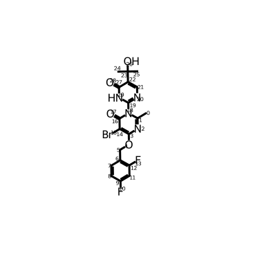 Cc1nc(OCc2ccc(F)cc2F)c(Br)c(=O)n1-c1ncc(C(C)(C)O)c(=O)[nH]1